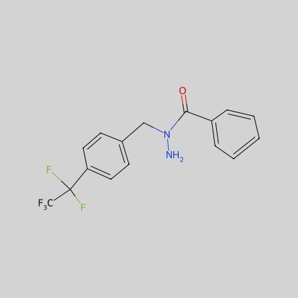 NN(Cc1ccc(C(F)(F)C(F)(F)F)cc1)C(=O)c1ccccc1